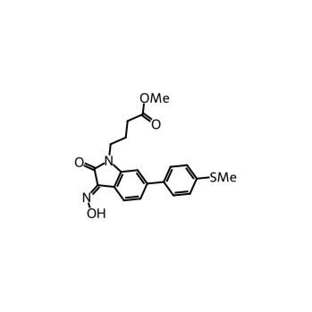 COC(=O)CCCN1C(=O)/C(=N/O)c2ccc(-c3ccc(SC)cc3)cc21